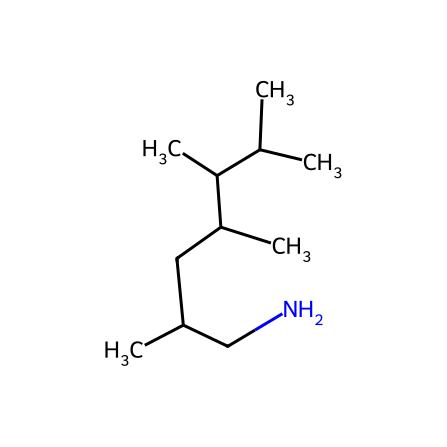 CC(CN)CC(C)C(C)C(C)C